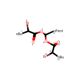 CCCCCC(OC(=O)C(Br)CCCC)OC(=O)C(Br)CCCC